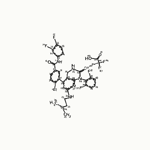 CCc1ccc(C(=O)Nc2ccc(F)c(F)c2)cc1-c1nc(NCCN(C)C)nc2c1CNC(=O)N2c1c(F)cccc1F.O=C(O)C(F)(F)F